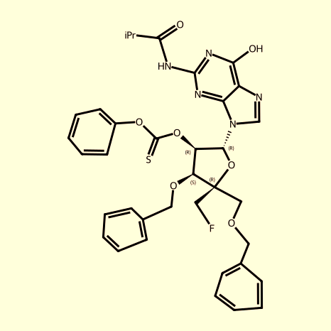 CC(C)C(=O)Nc1nc(O)c2ncn([C@@H]3O[C@](CF)(COCc4ccccc4)[C@@H](OCc4ccccc4)[C@H]3OC(=S)Oc3ccccc3)c2n1